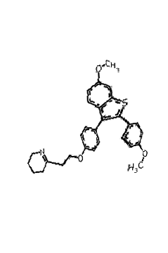 COc1ccc(-c2sc3cc(OC)ccc3c2-c2ccc(OCCC3=NCCCC3)cc2)cc1